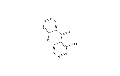 O=C(c1ccccc1Cl)c1ccnnc1O